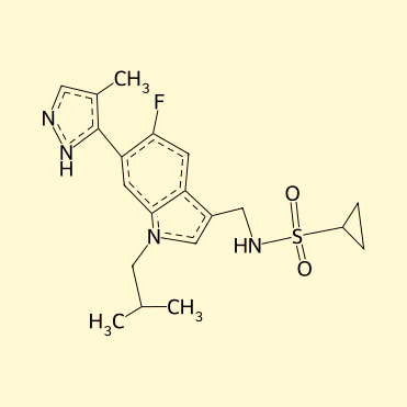 Cc1cn[nH]c1-c1cc2c(cc1F)c(CNS(=O)(=O)C1CC1)cn2CC(C)C